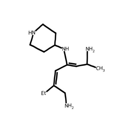 CC/C(=C/C(=C/C(C)N)NC1CCNCC1)CN